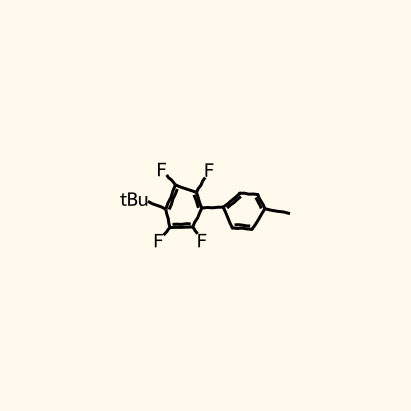 Cc1ccc(-c2c(F)c(F)c(C(C)(C)C)c(F)c2F)cc1